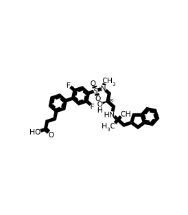 CN(C[C@H](O)CNC(C)(C)CC1Cc2ccccc2C1)S(=O)(=O)c1cc(F)c(-c2cccc(CCC(=O)O)c2)cc1F